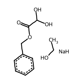 CCO.O=C(OCc1ccccc1)C(O)O.[NaH]